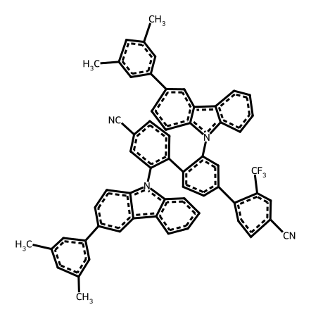 Cc1cc(C)cc(-c2ccc3c(c2)c2ccccc2n3-c2cc(C#N)ccc2-c2ccc(-c3ccc(C#N)cc3C(F)(F)F)cc2-n2c3ccccc3c3cc(-c4cc(C)cc(C)c4)ccc32)c1